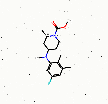 CCN(c1cc(F)cc(C)c1C)C1CCN(C(=O)OC(C)(C)C)[C@H](C)C1